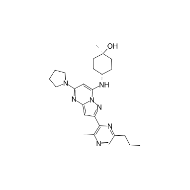 CCCc1cnc(C)c(-c2cc3nc(N4CCCC4)cc(N[C@H]4CC[C@](C)(O)CC4)n3n2)n1